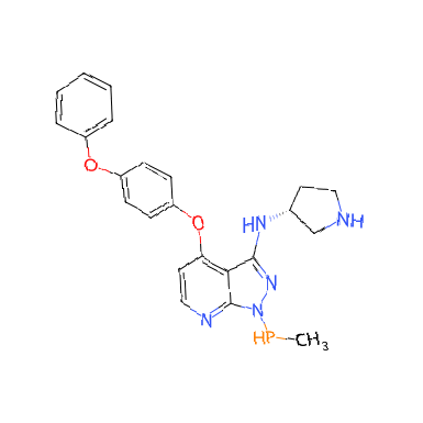 CPn1nc(N[C@@H]2CCNC2)c2c(Oc3ccc(Oc4ccccc4)cc3)ccnc21